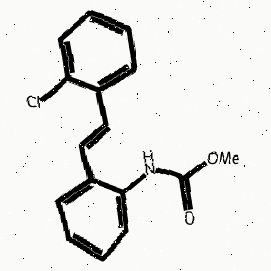 COC(=O)Nc1ccccc1/C=C/c1ccccc1Cl